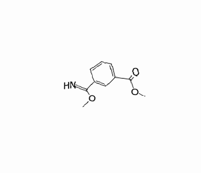 COC(=N)c1cccc(C(=O)OC)c1